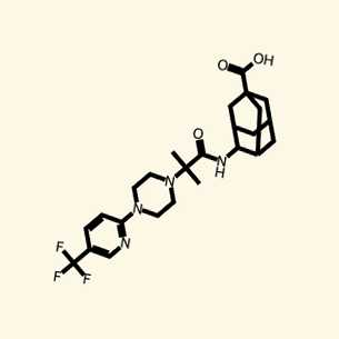 CC(C)(C(=O)NC1C2CC3CC1CC(C(=O)O)(C3)C2)N1CCN(c2ccc(C(F)(F)F)cn2)CC1